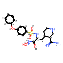 N=C(N)C1CNCCC1C[C@H](NS(=O)(=O)c1ccc(Oc2ccccc2)cc1)C(=O)NO